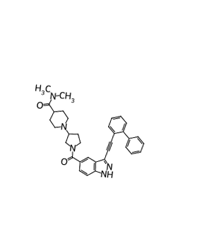 CN(C)C(=O)C1CCN(C2CCN(C(=O)c3ccc4[nH]nc(C#Cc5ccccc5-c5ccccc5)c4c3)C2)CC1